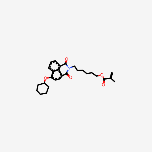 C=C(C)C(=O)OCCCCCCN1C(=O)c2cccc3c(OC4CCCCC4)ccc(c23)C1=O